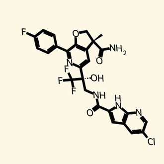 C[C@]1(C(N)=O)COc2c1cc([C@@](O)(CNC(=O)c1cc3cc(Cl)cnc3[nH]1)C(F)(F)F)nc2-c1ccc(F)cc1